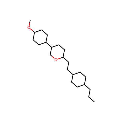 CCCC1CCC(CCC2CCC(C3CCC(OC)CC3)CO2)CC1